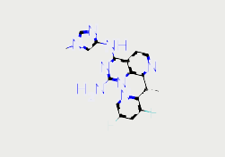 C[C@@H](c1ncc(F)cc1F)c1nccc2c(Nc3cn(C)cn3)nc(N)nc12